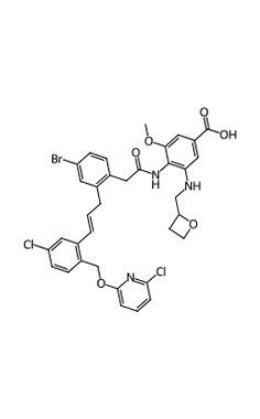 COc1cc(C(=O)O)cc(NCC2CCO2)c1NC(=O)Cc1ccc(Br)cc1CC=Cc1cc(Cl)ccc1COc1cccc(Cl)n1